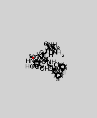 CC(=O)N[C@@H]1[C@@H](OC(C)CN(C(=O)CC[C@@H](NC(=O)[C@H](C)N)C(N)=O)[C@@H](C)C(=O)NCCOC(=O)Cc2ccccc2Nc2c(Cl)cccc2Cl)[C@H](O)[C@@H](CO)O[C@@H]1O